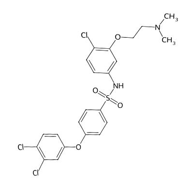 CN(C)CCOc1cc(NS(=O)(=O)c2ccc(Oc3ccc(Cl)c(Cl)c3)cc2)ccc1Cl